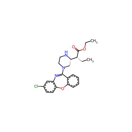 CCOC(=O)[C@H](CC)[C@@H]1CN(C2=Nc3cc(Cl)ccc3Oc3ccccc32)CCN1